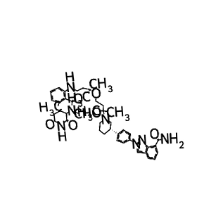 Cc1cccc(NCCC(C)(C)OCCC(C)(C)N2CCC[C@@H](c3ccc(-n4cc5cccc(C(N)=O)c5n4)cc3)C2)c1C(=O)N(C=O)C1CCC(=O)NC1=O